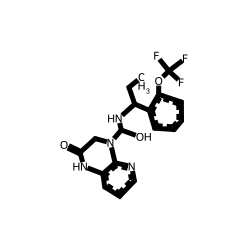 CCC(NC(O)N1CC(=O)Nc2cccnc21)c1ccccc1OC(F)(F)F